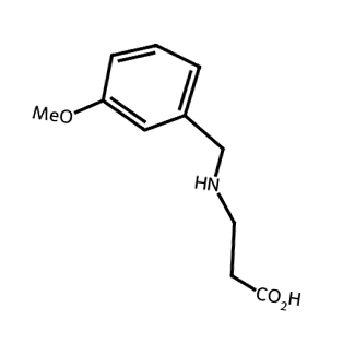 COc1cccc(CNCCC(=O)O)c1